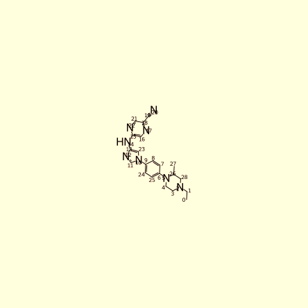 CCN1CCN(c2ccc(-n3cnc(Nc4cnc(C#N)cn4)c3)cc2)C(C)C1